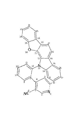 N#Cc1cnccc1-c1ccccc1-n1c2ccccc2c2ccc3c4ccccc4oc3c21